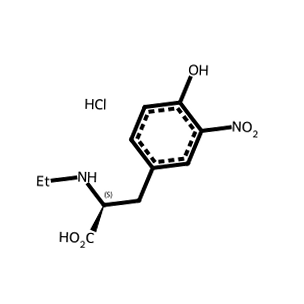 CCN[C@@H](Cc1ccc(O)c([N+](=O)[O-])c1)C(=O)O.Cl